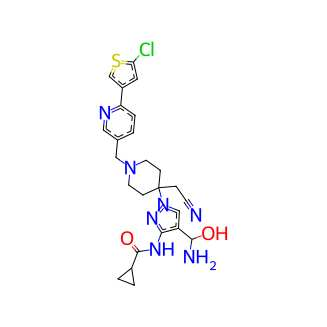 N#CCC1(n2cc(C(N)O)c(NC(=O)C3CC3)n2)CCN(Cc2ccc(-c3csc(Cl)c3)nc2)CC1